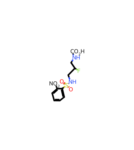 O=C(O)NCC(F)CNS(=O)(=O)c1ccccc1[N+](=O)[O-]